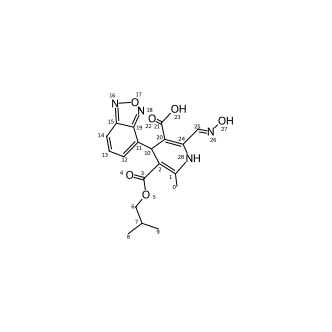 CC1=C(C(=O)OCC(C)C)C(c2cccc3nonc23)C(C(=O)O)=C(C=NO)N1